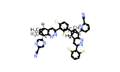 CC1(C)[C@@H]2c3cc(-c4c(F)cccc4F)nnc3[C@@]1(c1cccc(C#N)n1)CC2c1ccc(F)c(-c2cc3c(nn2)[C@@]2(c4cnc(C#N)cn4)CC[C@@H]3C2(C)C)c1F